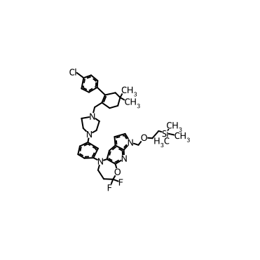 CC1(C)CCC(CN2CCN(c3cccc(N4CCC(F)(F)Oc5nc6c(ccn6COCC[Si](C)(C)C)cc54)c3)CC2)=C(c2ccc(Cl)cc2)C1